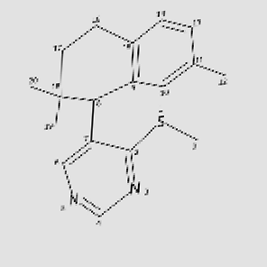 CSc1ncncc1C1c2cc(C)ccc2CCC1(C)C